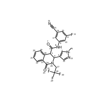 Cn1cc(C2C(C(=O)Nc3cc(F)cc(C#N)c3)c3ccccc3C(=O)N2CC(F)(F)F)cn1